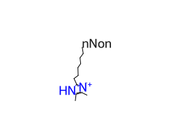 CCCCCCCCCCCCCCCCc1[nH]c(C)c(C)[n+]1C